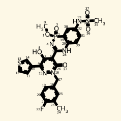 COP1(=O)N=C(c2c(O)c(-c3ccsc3)nn(Cc3ccc(F)c(C)c3)c2=O)Nc2ccc(NS(C)(=O)=O)cc21